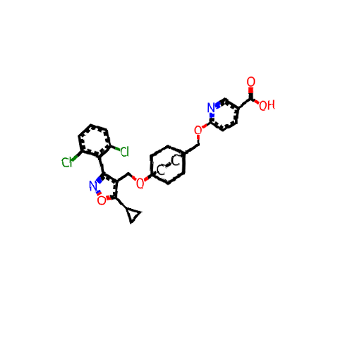 O=C(O)c1ccc(OCC23CCC(OCc4c(-c5c(Cl)cccc5Cl)noc4C4CC4)(CC2)CC3)nc1